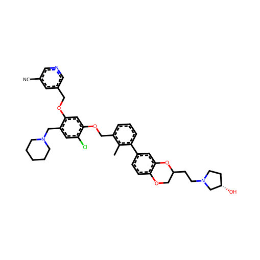 Cc1c(COc2cc(OCc3cncc(C#N)c3)c(CN3CCCCC3)cc2Cl)cccc1-c1ccc2c(c1)OC(CCN1CC[C@H](O)C1)CO2